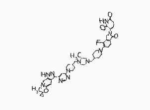 C[C@@H]1CN(CC2CCN(c3ccc4c(c3F)CN(C3CCC(=O)NC3=O)C4=O)CC2)CCN1CC1CCN(c2cc(-c3n[nH]c4cnc(OC5(C)CC5)cc34)ncn2)CC1